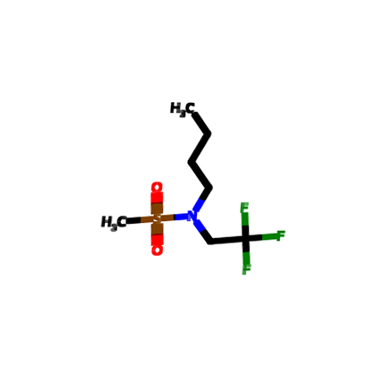 CCCCN(CC(F)(F)F)S(C)(=O)=O